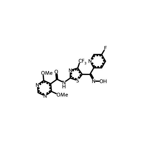 COc1ncnc(OC)c1C(=O)Nc1nc(C(F)(F)F)c(/C(=N/O)c2ccc(F)cn2)s1